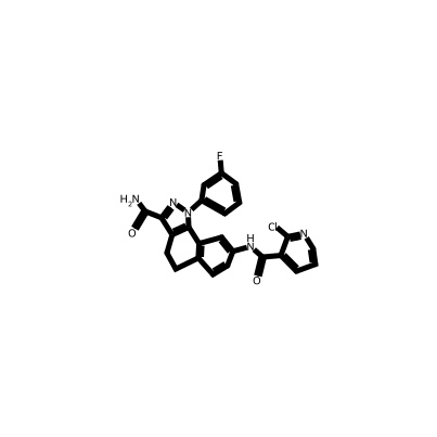 NC(=O)c1nn(-c2cccc(F)c2)c2c1CCc1ccc(NC(=O)c3cccnc3Cl)cc1-2